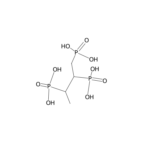 CC(C(CP(=O)(O)O)P(=O)(O)O)P(=O)(O)O